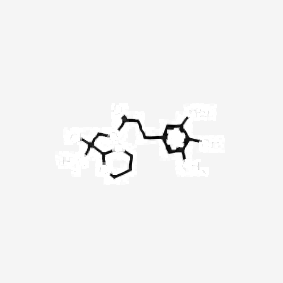 Cc1cc(CCC(=O)OCC(C)(Cl)C2OCCCO2)cc(C(C)(C)C)c1O